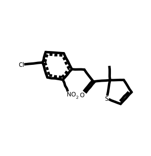 CC1(C(=O)Cc2ccc(Cl)cc2[N+](=O)[O-])CC=CS1